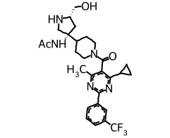 CC(=O)N[C@]1(C2CCN(C(=O)c3c(C)nc(-c4cccc(C(F)(F)F)c4)nc3C3CC3)CC2)CN[C@H](CO)C1